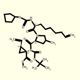 C=CCCCCC[C@H](NC(=O)OC1CCCC1)C(=O)N1CC(C)C[C@H]1C(=O)N(C(=O)OC(C)(C)C)[C@]1(C(=O)OC)C[C@H]1C=C